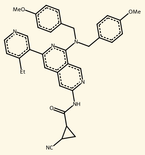 CCc1ccncc1-c1cc2cc(NC(=O)C3CC3C#N)ncc2c(N(Cc2ccc(OC)cc2)Cc2ccc(OC)cc2)n1